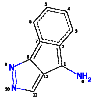 NC1=c2ccccc2=C2N=NC=C12